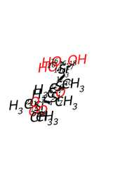 CO[Si](/C=C/[Si](C)(C)O[Si](C)(C)/C=C/[Si](CO)(CO)CO)(OC)OC